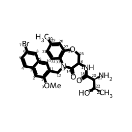 COc1cc2ccc(Br)cc2cc1CN1C(=O)C(NC(=O)[C@@H](N)[C@@H](C)O)COc2cc(C)ccc21